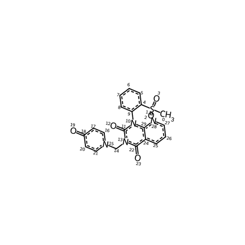 CS(=O)(=O)c1ccccc1-n1c(=O)n(Cn2ccc(=O)cc2)c(=O)c2cccnc21